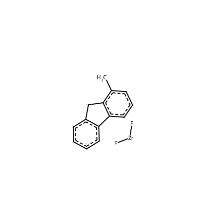 Cc1cccc2c1[CH]c1ccccc1-2.[F][Zr][F]